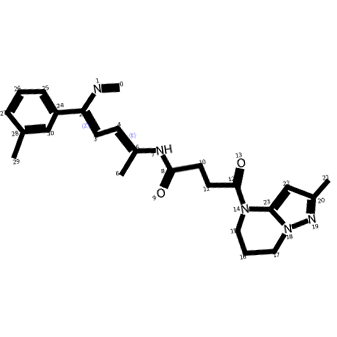 C=N/C(=C\C=C(/C)NC(=O)CCC(=O)N1CCCn2nc(C)cc21)c1cccc(C)c1